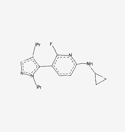 CC(C)c1cnn(C(C)C)c1-c1ccc(NC2CC2)nc1F